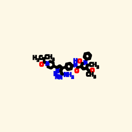 CC(=O)c1cc(C(=O)Nc2ccc(-c3cc(C4CCN(C(=O)C(C)C)CC4)n4nnnc(N)c34)cc2)c(=O)n(-c2ccccc2)c1C